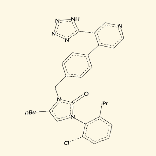 CCCCc1cn(-c2c(Cl)cccc2C(C)C)c(=O)n1Cc1ccc(-c2ccncc2-c2nnn[nH]2)cc1